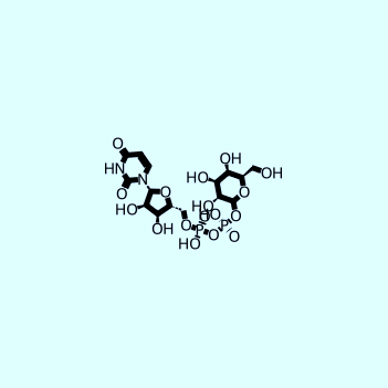 O=c1ccn([C@@H]2O[C@H](COP(=O)(O)OP(=O)(O)OC3O[C@H](CO)[C@H](O)[C@H](O)[C@H]3O)[C@@H](O)[C@H]2O)c(=O)[nH]1